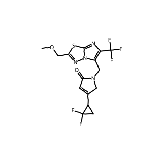 COCc1nn2c(CN3CC(C4CC4(F)F)=CC3=O)c(C(F)(F)F)nc2s1